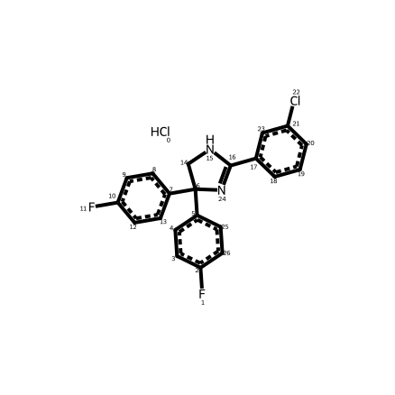 Cl.Fc1ccc(C2(c3ccc(F)cc3)CNC(c3cccc(Cl)c3)=N2)cc1